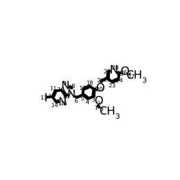 CCOc1cc(Cn2cnc3cc(I)cnc32)ccc1OCc1ccc(OC)nc1